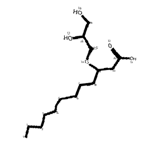 CCCCCCCCCC(CC(=O)O)OCC(O)CO